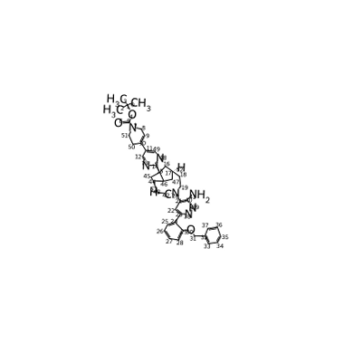 CC(C)(C)OC(=O)N1CC=C(c2cnc(C34C[C@H]5CCN(c6cc(-c7ccccc7OCc7ccccc7)nnc6N)CC[C@@H](C3)C4C5)nc2)CC1